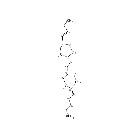 CCC=C[C@H]1CO[C@H](CC[C@H]2CO[C@H](CCCCC)OC2)OC1